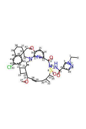 CCn1cc(C(=O)NS2(=O)=NC(=O)c3ccc4c(n3)N(CC3CCC3C(OC)/C=C/CC(C)C2C)CC2(CCCc3cc(Cl)ccc32)CO4)cn1